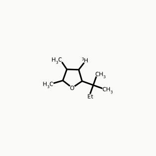 [3H]C1C(C)C(C)OC1C(C)(C)CC